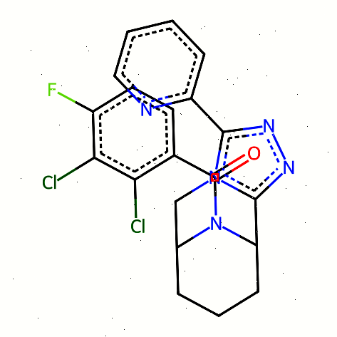 O=C(c1ccc(F)c(Cl)c1Cl)N1C2CCCC1c1nnc(-c3ccccn3)n1C2